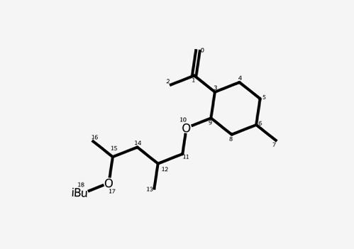 C=C(C)C1CCC(C)CC1OCC(C)CC(C)OC(C)CC